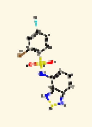 O=S(=O)(Nc1cccc2nsnc12)c1ccc(F)cc1Br